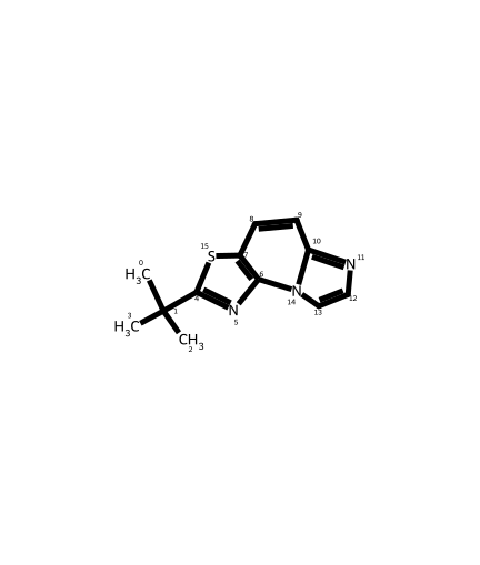 CC(C)(C)c1nc2c(ccc3nccn32)s1